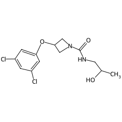 CC(O)CNC(=O)N1CC(Oc2cc(Cl)cc(Cl)c2)C1